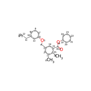 Cc1cc(COc2cccc(CC(C)C)c2)cc(C(=O)Oc2ccccc2)c1C